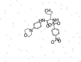 CCCC(NS(=O)(=O)c1ccc([N+](=O)[O-])cc1)C(=O)Nc1ccc(N2CCOCC2)cc1